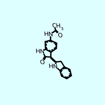 CC(=O)Nc1ccc2c(c1)NC(=O)/C2=C1/Cc2ccccc2N1